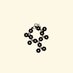 C=Cc1ccc(-n2c3ccccc3c3cc(N(c4ccccc4)c4ccc(N(c5ccc(N(c6ccccc6)c6ccccc6)cc5)c5ccc(N(c6ccccc6)c6ccc7c(c6)c6ccccc6n7-c6ccc(C=C)cc6)cc5)cc4)ccc32)cc1